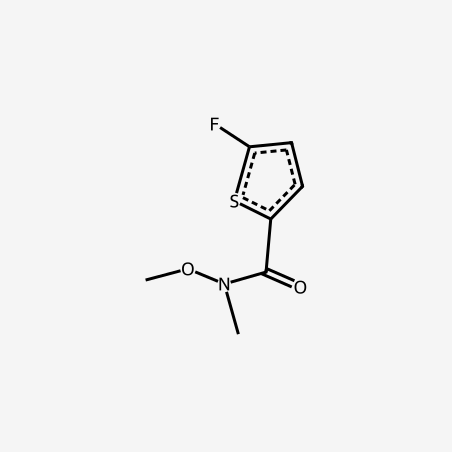 CON(C)C(=O)c1ccc(F)s1